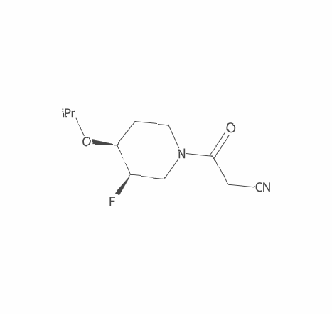 CC(C)O[C@H]1CCN(C(=O)CC#N)C[C@H]1F